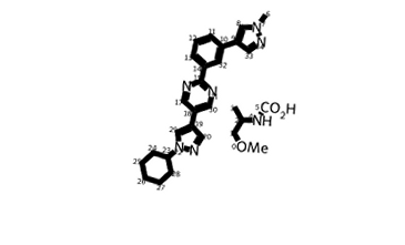 COCC(C)NC(=O)O.Cn1cc(-c2cccc(-c3ncc(-c4cnn(C5CCCCC5)c4)cn3)c2)cn1